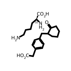 NCCCC[C@H](N)C(=O)O.O=C(O)Cc1ccc(CC2CCCCC2=O)cc1